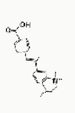 CC(=Cc1ccc(C(=O)O)cc1)c1ccc2c(c1)[N+](C)(C)CCC2C